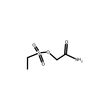 CCS(=O)(=O)OCC(N)=O